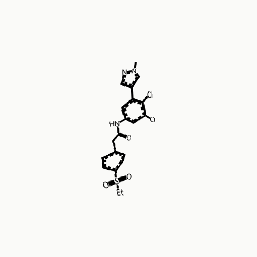 CCS(=O)(=O)c1ccc(CC(=O)Nc2cc(Cl)c(Cl)c(-c3cnn(C)c3)c2)cc1